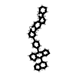 c1ccc2c(-c3c4ccccc4c(-c4ccc(-c5ccc6oc7cc8c(ccc9c%10ccccc%10sc89)cc7c6c5)cc4)c4ccccc34)cccc2c1